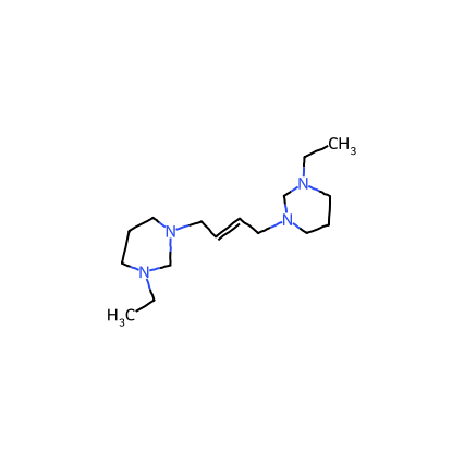 CCN1CCCN(CC=CCN2CCCN(CC)C2)C1